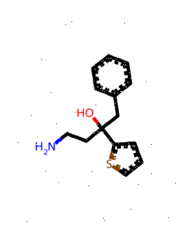 NCCC(O)(Cc1ccccc1)c1cccs1